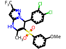 COc1cccc(S(=O)(=O)C2=C(C)Nc3cc(C(F)(F)F)nn3C2c2ccc(Cl)c(Cl)c2)c1